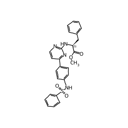 COC(=O)[C@H](Cc1ccccc1)Nc1nccc(-c2ccc(NS(=O)(=O)c3ccccc3)cc2)n1